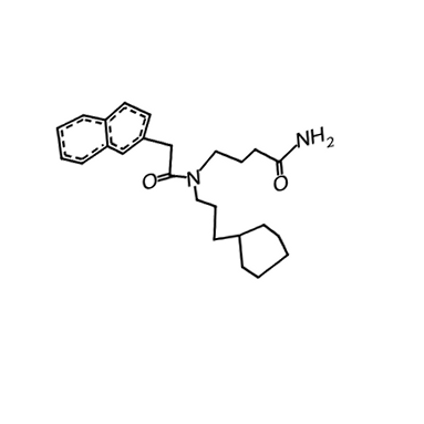 NC(=O)CCCN(CCCC1CCCCC1)C(=O)Cc1ccc2ccccc2c1